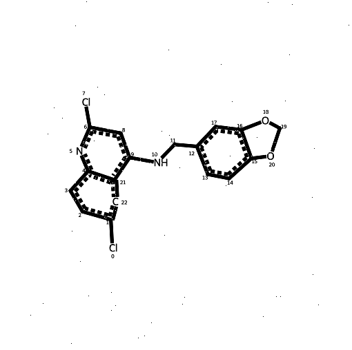 Clc1ccc2nc(Cl)cc(NCc3ccc4c(c3)OCO4)c2c1